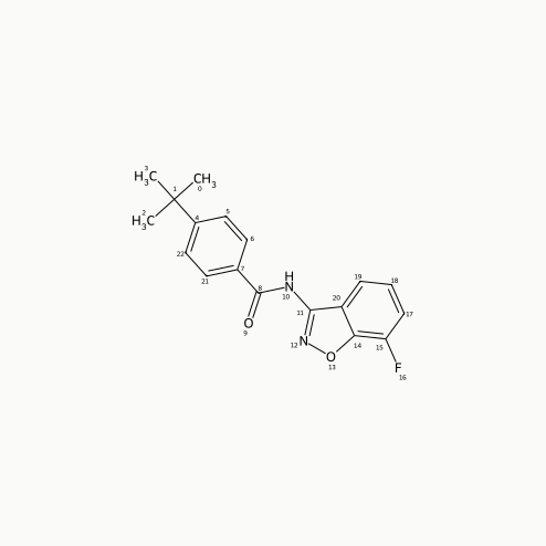 CC(C)(C)c1ccc(C(=O)Nc2noc3c(F)cccc23)cc1